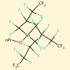 CCC[O][Sn]([C](F)(F)C(F)(F)C(F)(F)C(F)(F)F)([C](F)(F)C(F)(F)C(F)(F)C(F)(F)F)[C](F)(F)C(F)(F)C(F)(F)C(F)(F)F